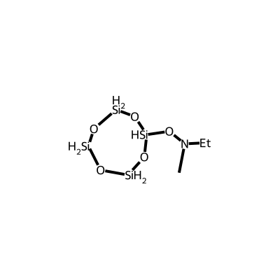 CCN(C)O[SiH]1O[SiH2]O[SiH2]O[SiH2]O1